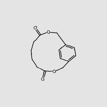 O=C1CCCCC(=O)OCc2ccc(cc2)CO1